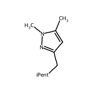 CCCC(C)Cc1cc(C)n(C)n1